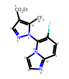 CCOC(=O)c1cnn(-c2c(F)ccc3nccn23)c1C(F)(F)F